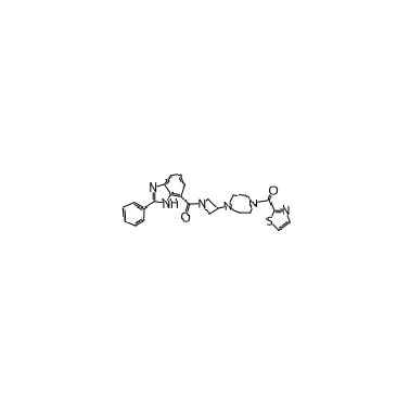 O=C(c1nccs1)N1CCN(C2CN(C(=O)c3cccc4nc(-c5ccccc5)[nH]c34)C2)CC1